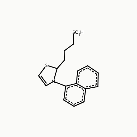 O=S(=O)(O)CCCC1SC=CN1c1cccc2ccccc12